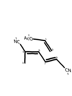 C=COC(C)=O.CC(C#N)=CC=CC#N